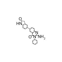 Nc1nc2ccc(-c3ccc4c(c3)CC(=O)N4)cc2c(=O)n1-c1ccccc1